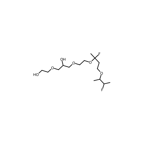 CC(F)C(C)OCCC(C)(F)OCCOCC(O)COCCO